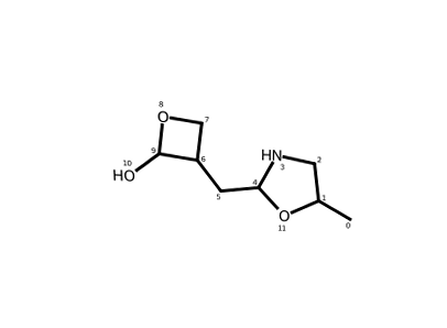 CC1CNC(CC2COC2O)O1